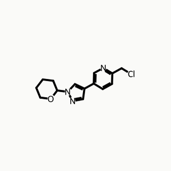 ClCc1ccc(-c2cnn(C3CCCCO3)c2)cn1